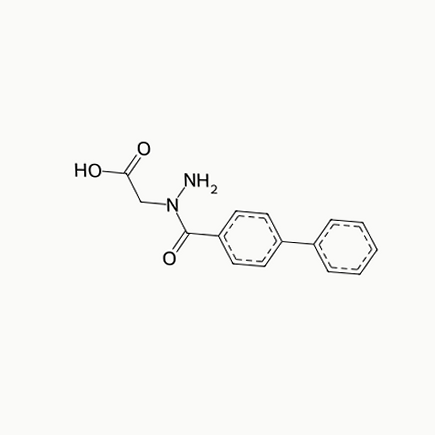 NN(CC(=O)O)C(=O)c1ccc(-c2ccccc2)cc1